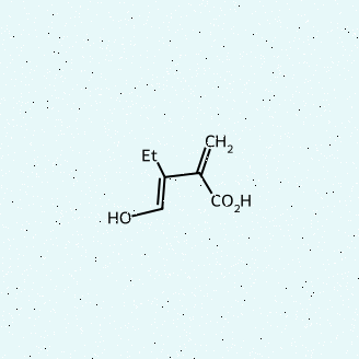 C=C(C(=O)O)C(=CO)CC